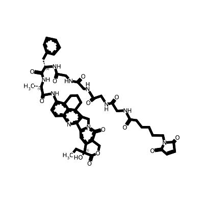 CC[C@@]1(O)C(=O)OCc2c1cc1n(c2=O)Cc2c-1nc1ccc(NC(=O)[C@H](C)NC(=O)[C@H](Cc3ccccc3)NC(=O)CNC(=O)CNC(=O)CNC(=O)CNC(=O)CCCCCN3C(=O)C=CC3=O)c3c1c2CCC3